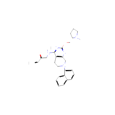 C=CC(=O)CN(C)c1nc(OC[C@@H]2CCCN2C)nc2c1CCN(c1cccc3ccccc13)C2